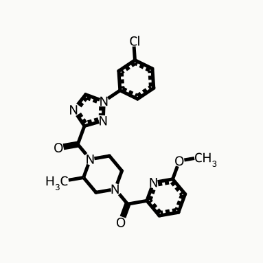 COc1cccc(C(=O)N2CCN(C(=O)c3ncn(-c4cccc(Cl)c4)n3)C(C)C2)n1